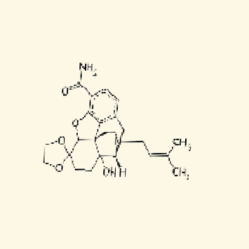 CC(C)=CCN1CC[C@]23c4c5ccc(C(N)=O)c4OC2C2(CCC3(O)[C@H]1C5)OCCO2